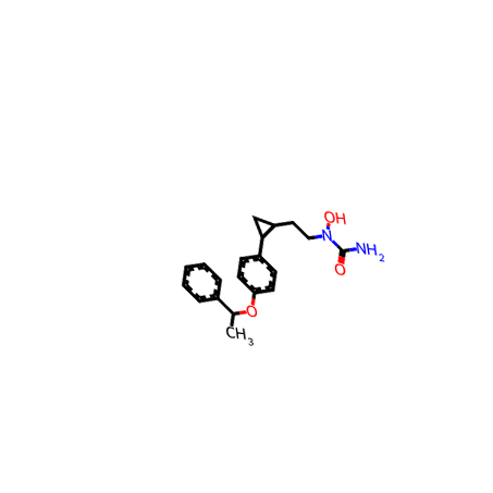 CC(Oc1ccc(C2CC2CCN(O)C(N)=O)cc1)c1ccccc1